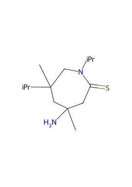 CC(C)N1CC(C)(C(C)C)CC(C)(N)CC1=S